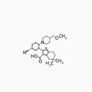 COCC1CCN(c2ccc(C#N)cc2-c2sc3c(c2C(=O)O)CC(C)(C)CC3)CC1